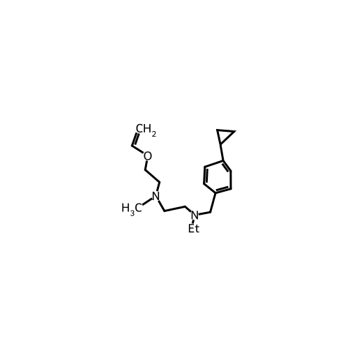 C=COCCN(C)CCN(CC)Cc1ccc(C2CC2)cc1